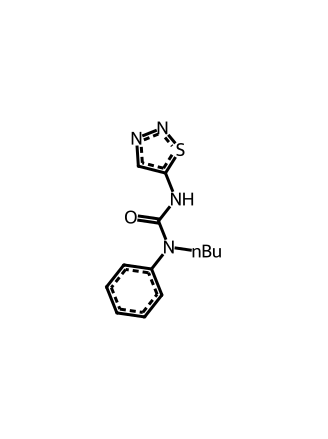 CCCCN(C(=O)Nc1cnns1)c1ccccc1